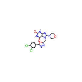 Cn1c(=O)c2c(nc(N3CCOCC3)n2Cc2nnc(-c3ccc(Cl)c(Cl)c3)o2)n(C)c1=O